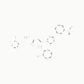 Cc1noc(C)c1CN(C)CC(=N)/C=C(\Nc1ccccc1Cl)c1ccc(-c2cccc(S(C)(=O)=O)c2)s1